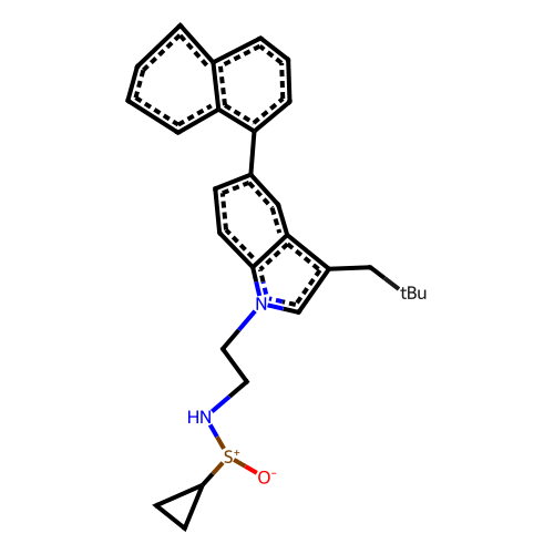 CC(C)(C)Cc1cn(CCN[S+]([O-])C2CC2)c2ccc(-c3cccc4ccccc34)cc12